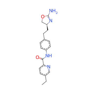 CCc1ccc(C(=O)Nc2ccc(CC[C@H]3COC(N)=N3)cc2)nc1